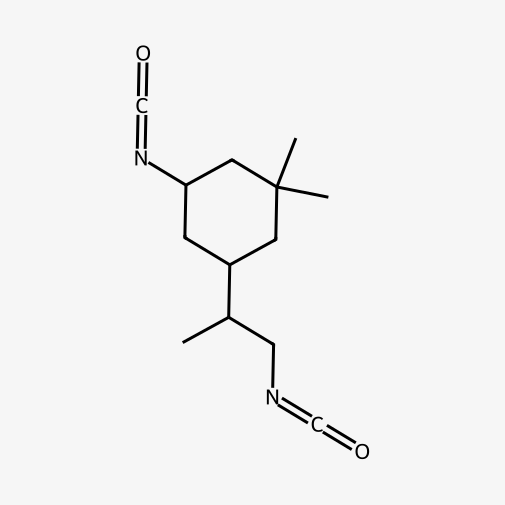 CC(CN=C=O)C1CC(N=C=O)CC(C)(C)C1